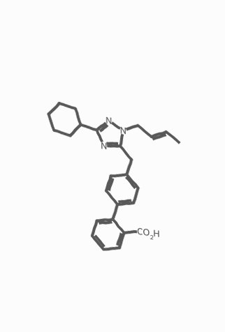 CC=CCn1nc(C2CCCCC2)nc1Cc1ccc(-c2ccccc2C(=O)O)cc1